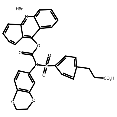 Br.O=C(O)CCc1ccc(S(=O)(=O)N(C(=O)Oc2c3ccccc3nc3ccccc23)c2ccc3c(c2)OCCO3)cc1